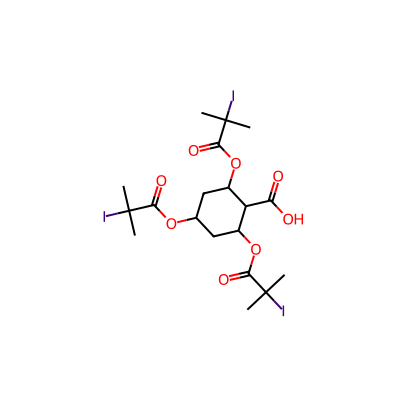 CC(C)(I)C(=O)OC1CC(OC(=O)C(C)(C)I)C(C(=O)O)C(OC(=O)C(C)(C)I)C1